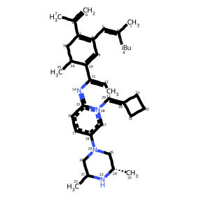 C=C(C)C1=C(/C=C(/C)C(C)CC)C=C(C(=C/C)/N=c2/ccc(N3CC(C)N[C@@H](C)C3)cn2C=C2CCC2)C(C)C1